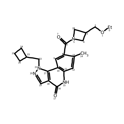 CCOCC1CN(C(=O)c2cc3c(cc2C)[nH]c(=O)c2cnn(CC4CCC4)c23)C1